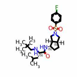 CC(C)C[C@H](NCC(C)(C)C)C(=O)N[C@H]1CC[C@@H]2CN(S(=O)(=O)c3ccc(F)cc3)C[C@@H]21